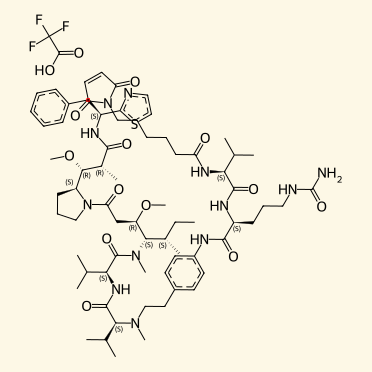 CC[C@H](C)[C@@H]([C@@H](CC(=O)N1CCC[C@H]1[C@H](OC)[C@@H](C)C(=O)N[C@@H](Cc1ccccc1)c1nccs1)OC)N(C)C(=O)[C@@H](NC(=O)[C@H](C(C)C)N(C)CCc1ccc(NC(=O)[C@H](CCCNC(N)=O)NC(=O)[C@@H](NC(=O)CCCCCN2C(=O)C=CC2=O)C(C)C)cc1)C(C)C.O=C(O)C(F)(F)F